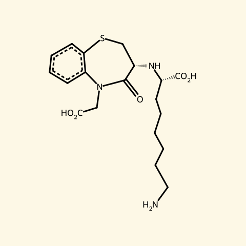 NCCCCCC[C@H](N[C@H]1CSc2ccccc2N(CC(=O)O)C1=O)C(=O)O